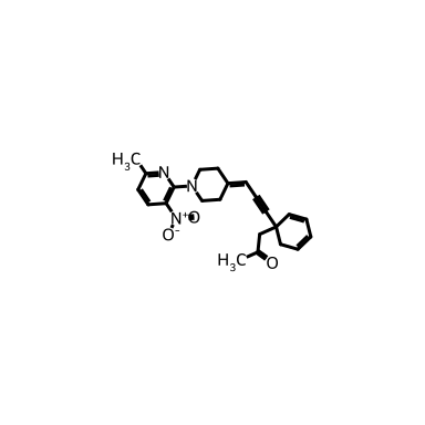 CC(=O)CC1(C#CC=C2CCN(c3nc(C)ccc3[N+](=O)[O-])CC2)C=CC=CC1